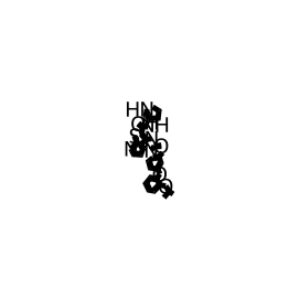 Cc1cc(Oc2ccccc2OC(C)C)ccc1N1C(=O)Nc2c(C(=O)N[C@@H]3CCCNC3)sc3nccc1c23